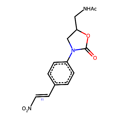 CC(=O)NCC1CN(c2ccc(/C=C/[N+](=O)[O-])cc2)C(=O)O1